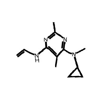 C=CNc1nc(C)nc(N(C)C2CC2)c1C